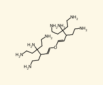 NCCC(C=COC=CC(CCN)C(N)(CCN)CCN)C(N)(CCN)CCN